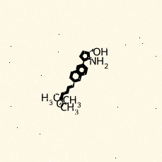 COC(C)(C)CCCC[C@H]1CCc2cc([C@H]3CC[C@H](CO)[C@H]3N)ccc2C1